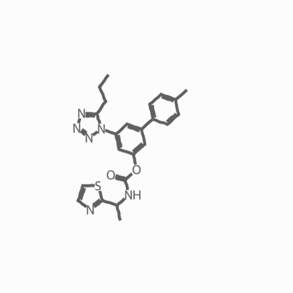 CCCc1nnnn1-c1cc(OC(=O)NC(C)c2nccs2)cc(-c2ccc(C)cc2)c1